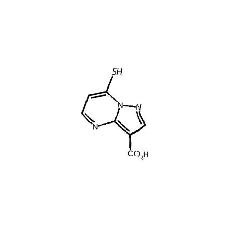 O=C(O)c1cnn2c(S)ccnc12